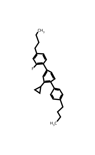 CCCCc1ccc(-c2ccc(-c3ccc(CCCC)cc3F)cc2C2CC2)cc1